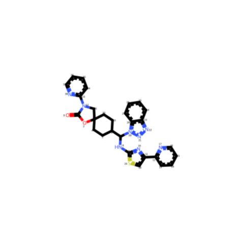 O=C1OC2(CCC(C(Nc3nc(-c4ccccn4)cs3)n3nnc4ccccc43)CC2)CN1c1ccccn1